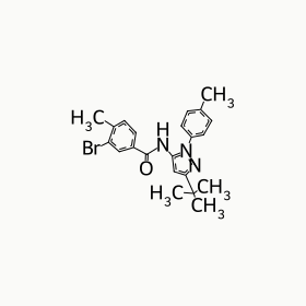 Cc1ccc(-n2nc(C(C)(C)C)cc2NC(=O)c2ccc(C)c(Br)c2)cc1